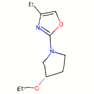 CCO[C@H]1CCN(c2nc(CC)co2)C1